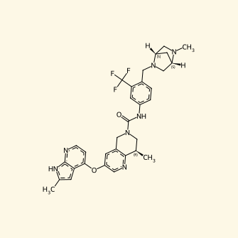 Cc1cc2c(Oc3cnc4c(c3)CN(C(=O)Nc3ccc(CN5C[C@@H]6C[C@H]5CN6C)c(C(F)(F)F)c3)C[C@H]4C)ccnc2[nH]1